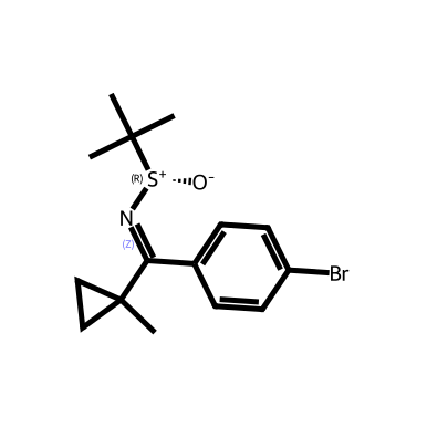 CC1(/C(=N/[S@@+]([O-])C(C)(C)C)c2ccc(Br)cc2)CC1